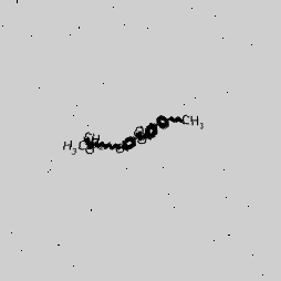 C=C(C)C(=O)OCCCCCCO[C@H]1CC[C@H](C(=O)Oc2ccc([C@H]3CC[C@H](CCCCC)CC3)cc2)CC1